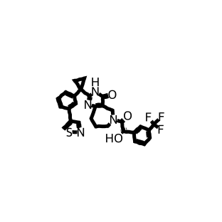 O=C([C@H](O)c1cccc(C(F)(F)F)c1)N1CCCc2nc(C3(c4cccc(-c5cnsc5)c4)CC3)[nH]c(=O)c2C1